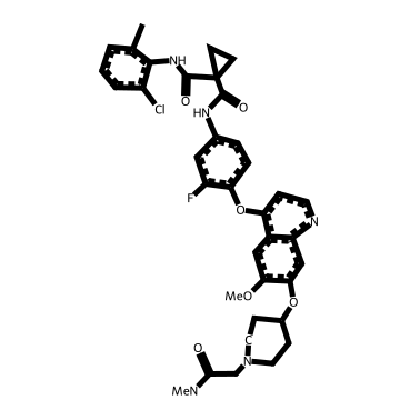 CNC(=O)CN1CCC(Oc2cc3nccc(Oc4ccc(NC(=O)C5(C(=O)Nc6c(C)cccc6Cl)CC5)cc4F)c3cc2OC)CC1